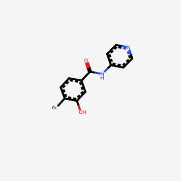 CC(=O)c1ccc(C(=O)Nc2ccncc2)cc1O